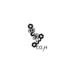 O=C(O)c1ccccc1CCCc1ccccc1NS(=O)(=O)c1ccc(S(=O)(=O)c2ccccc2)s1